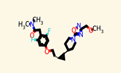 COCc1noc(N2CCC([C@H]3C[C@@H]3CCOc3cc(F)c(CC(=O)N(C)C)c(F)c3)CC2)n1